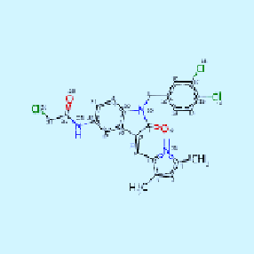 Cc1cc(C)c(/C=C2\C(=O)N(Cc3ccc(Cl)c(Cl)c3)c3ccc(NC(=O)CCl)cc32)[nH]1